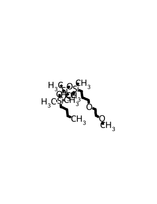 CCCC[Si](C)(C)O[Si](C)(C)O[Si](C)(C)CCCOCCOC